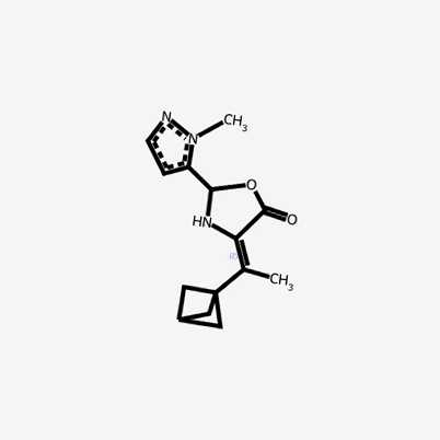 C/C(=C1/NC(c2ccnn2C)OC1=O)C12CC(C1)C2